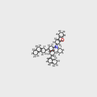 c1cc(-c2ccccc2N(c2ccc(-c3ccc4c(ccc5ccccc54)c3)cc2)c2ccc3c(c2)oc2ccccc23)cc(-c2cccc3ccccc23)c1